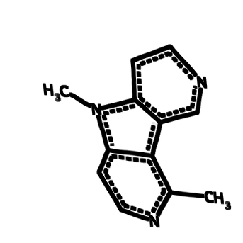 Cc1nccc2c1c1cnccc1n2C